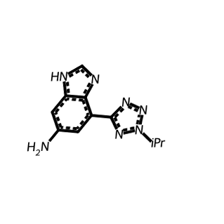 CC(C)n1nnc(-c2cc(N)cc3[nH]cnc23)n1